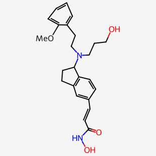 COc1ccccc1CCN(CCCO)C1CCc2cc(C=CC(=O)NO)ccc21